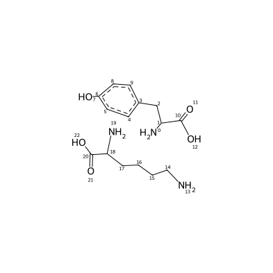 NC(Cc1ccc(O)cc1)C(=O)O.NCCCCC(N)C(=O)O